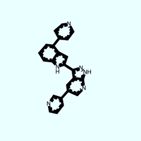 c1cncc(-c2cnc3[nH]nc(-c4cc5c(-c6ccncc6)cccc5[nH]4)c3c2)c1